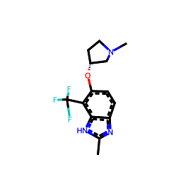 Cc1nc2ccc(O[C@@H]3CCN(C)C3)c(C(F)(F)F)c2[nH]1